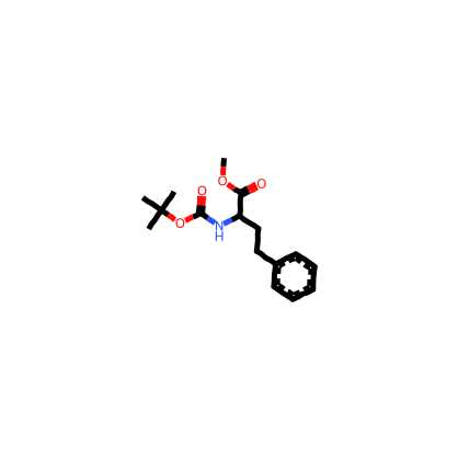 COC(=O)C(CCc1ccccc1)NC(=O)OC(C)(C)C